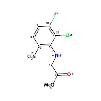 COC(=O)CNc1c([N+](=O)[O-])ccc(F)c1Cl